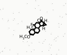 COC1=CC2=CCC3C(C(F)C[C@]4(C)C(=O)[C@H]5C[C@H]5C34)[C@@]2(C)CC1